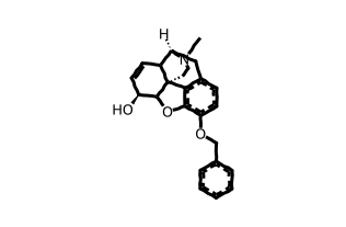 CN1CC[C@]23c4c5ccc(OCc6ccccc6)c4OC2[C@@H](O)C=CC3[C@H]1C5